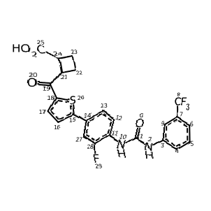 O=C(Nc1cccc(C(F)(F)F)c1)Nc1ccc(-c2ccc(C(=O)C3CCC3C(=O)O)s2)cc1F